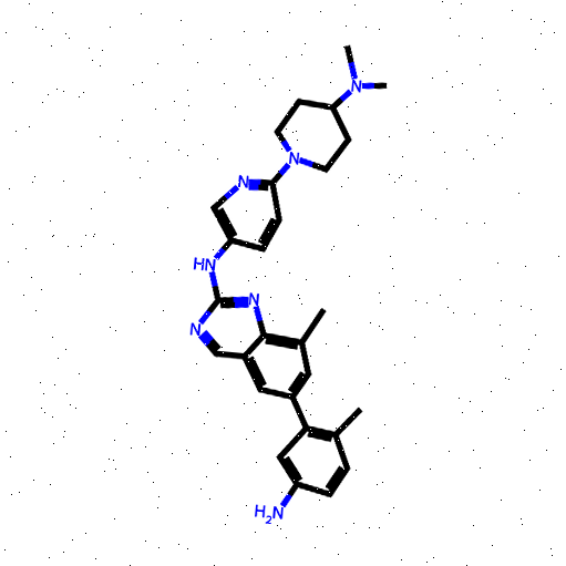 Cc1ccc(N)cc1-c1cc(C)c2nc(Nc3ccc(N4CCC(N(C)C)CC4)nc3)ncc2c1